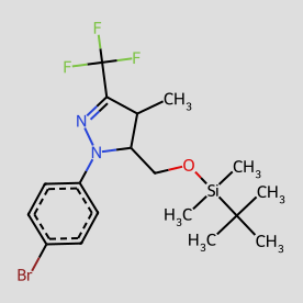 CC1C(C(F)(F)F)=NN(c2ccc(Br)cc2)C1CO[Si](C)(C)C(C)(C)C